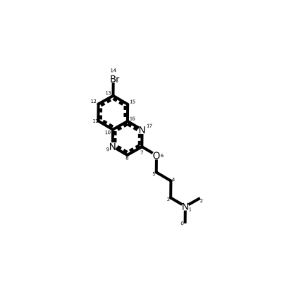 CN(C)CCCOc1cnc2ccc(Br)cc2n1